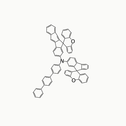 c1ccc(-c2ccc(-c3ccc(N(c4ccc5c(c4)C4(c6ccccc6Oc6ccccc64)c4ccccc4-5)c4ccc5c(c4)C4(c6ccccc6Oc6ccccc64)c4cc6ccccc6cc4-5)cc3)cc2)cc1